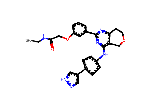 CC(C)(C)CNC(=O)COc1cccc(-c2nc3c(c(Nc4ccc(-c5cn[nH]c5)cc4)n2)COCC3)c1